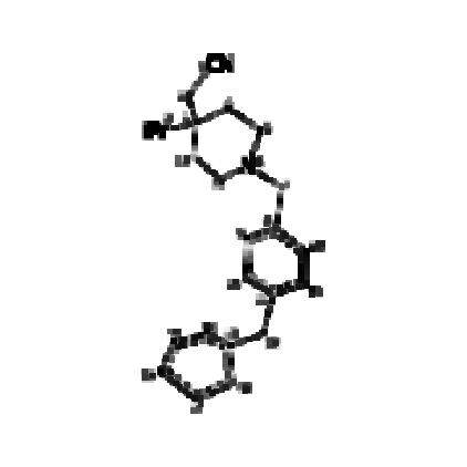 CC(C)C1(CC#N)CCN(Cc2ccc(Cc3ccccc3)cc2)CC1